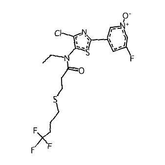 CCN(C(=O)CCSCCCC(F)(F)F)c1sc(-c2cc(F)c[n+]([O-])c2)nc1Cl